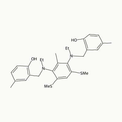 CCN(Cc1cc(C)ccc1O)c1c(SC)cc(SC)c(N(CC)Cc2cc(C)ccc2O)c1C